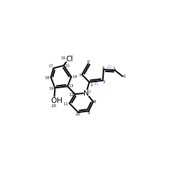 C=C/C(=C\C=C/C)N1C=C=CC=C1c1cc(Cl)ccc1O